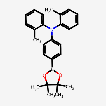 Cc1ccccc1N(c1ccc(B2OC(C)(C)C(C)(C)O2)cc1)c1ccccc1C